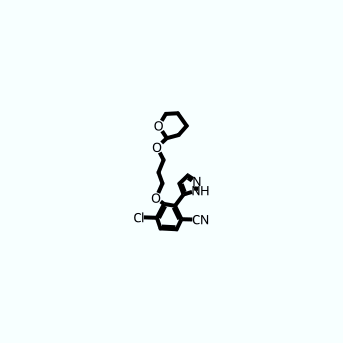 N#Cc1ccc(Cl)c(OCCCOC2CCCCO2)c1-c1ccn[nH]1